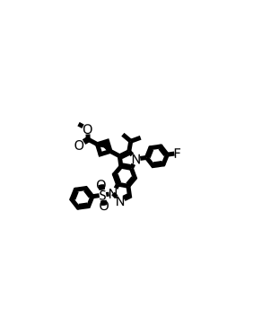 COC(=O)C12CC(c3c(C(C)C)n(-c4ccc(F)cc4)c4cc5cnn(S(=O)(=O)c6ccccc6)c5cc34)(C1)C2